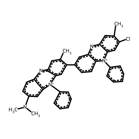 Cc1cc2nc3cc(-c4cc5c(cc4C)nc4ccc(N(C)C)cc4[n+]5-c4ccccc4)ccc3[n+](-c3ccccc3)c2cc1Cl